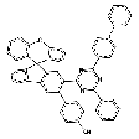 N#Cc1ccc(-c2cc3c(cc2-c2nc(-c4ccccc4)nc(-c4ccc(-c5ccccc5)cc4)n2)C2(c4ccccc4Oc4ccccc42)c2ccccc2-3)cc1